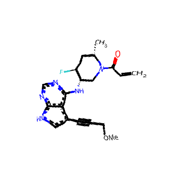 C=CC(=O)N1C[C@H](Nc2ncnc3[nH]cc(C#CCOC)c23)[C@@H](F)C[C@@H]1C